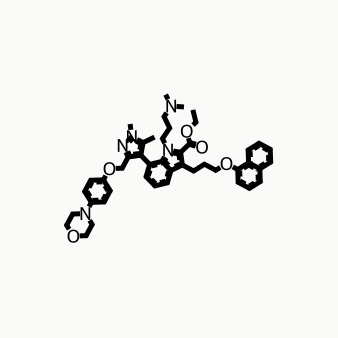 CCOC(=O)c1c(CCCOc2cccc3ccccc23)c2cccc(-c3c(COc4ccc(N5CCOCC5)cc4)nn(C)c3C)c2n1CCCN(C)C